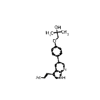 CC(=O)/C=C/c1c[nH]c2ncc(-c3ccc(OCC(C)(C)O)cc3)cc12